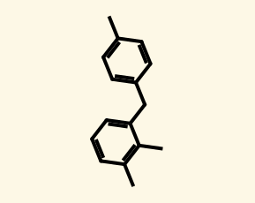 Cc1ccc(Cc2cccc(C)c2C)cc1